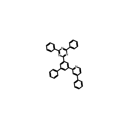 c1ccc(-c2cc(-c3cc(-c4ccccc4)ccn3)cc(-c3nc(-c4ccccc4)nc(-c4ccccc4)n3)c2)cc1